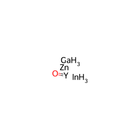 [GaH3].[InH3].[O]=[Y].[Zn]